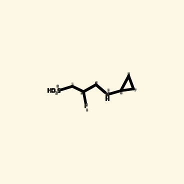 O=S(=O)(O)CC(F)CNC1CC1